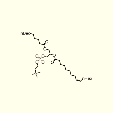 CCCCCC/C=C\CCCCCCCC(=O)O[C@H](COC(=O)CCCCCCCCCCCCCC)COP(=O)([O-])OCC[N+](C)(C)C